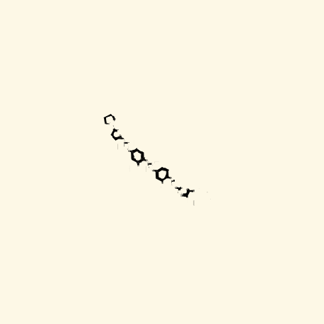 CCOC(=O)c1sc(/N=N/c2ccc(NNc3ccc(NNc4ccc(N5CCCC5)s4)cc3C)cc2C)nc1C(F)(F)F